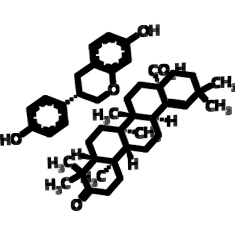 CC1(C)C=C2[C@H]3CC[C@@H]4[C@@]5(C)CCC(=O)C(C)(C)[C@@H]5CC[C@@]4(C)[C@]3(C)CC[C@@]2(C(=O)O)CC1.Oc1ccc([C@H]2COc3cc(O)ccc3C2)cc1